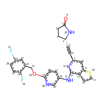 O=C1CC[C@@H](C#Cc2cc3sccc3c(Nc3ccc(OCc4cc(F)ccc4F)nc3)n2)N1